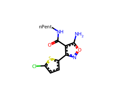 CCCCCNC(=O)c1c(-c2ccc(Cl)s2)noc1N